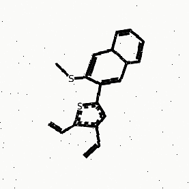 C=Cc1cc(C2=CC3C=CC=CC3C=C2SC)sc1C=C